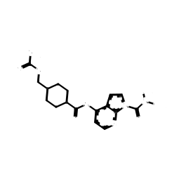 CN(C)C(=O)n1ccc2c(NC(=O)C3CCC(CNC(=N)N)CC3)ccnc21